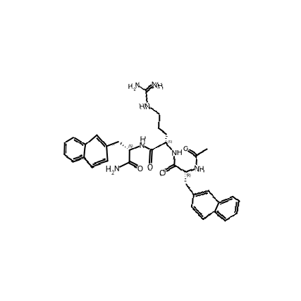 CC(=O)N[C@H](Cc1ccc2ccccc2c1)C(=O)N[C@@H](CCCNC(=N)N)C(=O)N[C@@H](Cc1ccc2ccccc2c1)C(N)=O